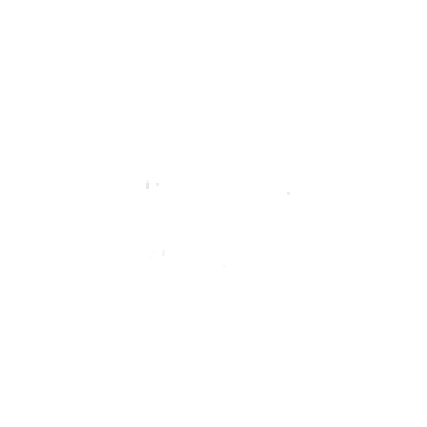 O=C(O)C(=O)C(C(=O)O)C12CCC(CC1)C2